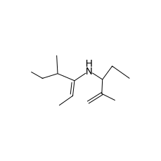 C=C(C)C(CC)N/C(=C/C)C(C)CC